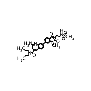 CCCN(CCC)C(=O)C1=Cc2ccc(-c3ccc4c(=O)n(CCNS(C)(=O)=O)c(=O)n(C)c4c3)cc2N=C(N)C1